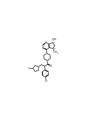 C[C@@H]1C[C@@H](O)c2ncnc(N3CCN(C(=O)C(CN4CCC(F)C4)c4ccc(Cl)cc4)CC3)c21